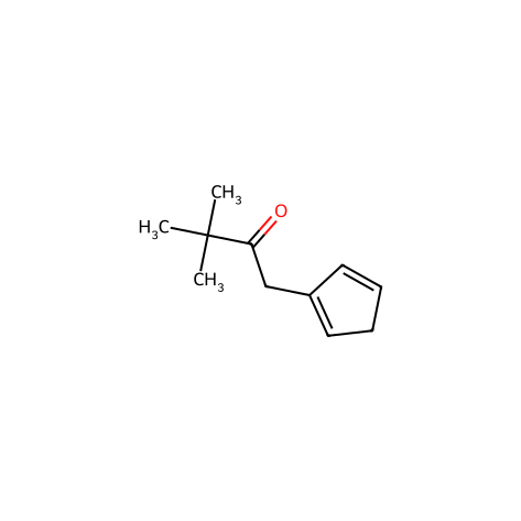 CC(C)(C)C(=O)CC1=CCC=C1